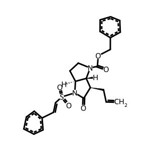 C=CC[C@H]1C(=O)N(S(=O)(=O)/C=C/c2ccccc2)[C@H]2CCN(C(=O)OCc3ccccc3)[C@H]12